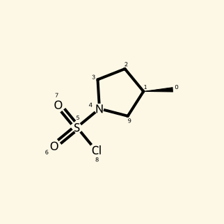 C[C@@H]1CCN(S(=O)(=O)Cl)C1